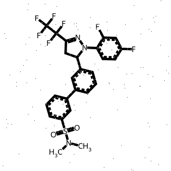 CN(C)S(=O)(=O)c1cccc(-c2cccc(C3CC(C(F)(F)C(F)(F)F)=NN3c3ccc(F)cc3F)c2)c1